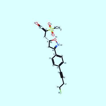 CS(=O)(=O)C(=C=O)C[C@H]1CC(c2ccc(C#CCCF)cc2)=NO1